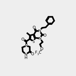 Cc1c(C(=O)N2CCNC(=O)C2)sc2c1c(=O)n(CCC1=CCCC=C1)c(=O)n2CCOC(F)(F)F